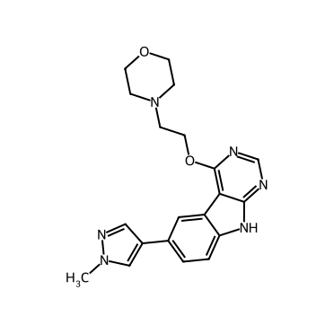 Cn1cc(-c2ccc3[nH]c4ncnc(OCCN5CCOCC5)c4c3c2)cn1